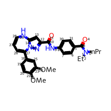 CCCN(CC)C(=O)c1ccc(NC(=O)c2cc3n(n2)C(c2ccc(OC)c(OC)c2)=CC=CN3)cc1